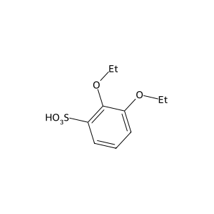 CCOc1cccc(S(=O)(=O)O)c1OCC